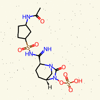 CC(=O)NC1CCC(S(=O)(=O)NC(=N)[C@@H]2CC[C@@H]3CN2C(=O)N3OS(=O)(=O)O)C1